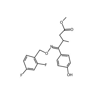 COC(=O)CC(C)C(=NOCc1ccc(F)cc1F)c1ccc(O)cc1